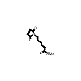 CNC(=O)CCCCCN1C(=O)C=CC1=O